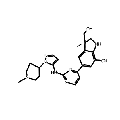 CN1CCC(n2nccc2Nc2nccc(-c3cc(C#N)c4c(c3)[C@@](C)(CO)CN4)n2)CC1